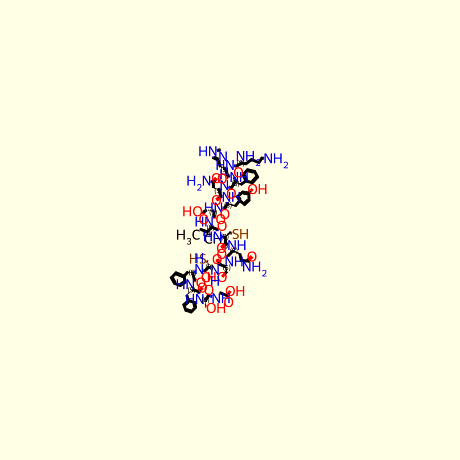 CC[C@H](C)[C@H](NC(=O)[C@H](CC(=O)O)NC(=O)[C@H](Cc1ccc(O)cc1)NC(=O)[C@H](CC(N)=O)NC(=O)[C@H](Cc1ccccc1)NC(=O)[C@H](Cc1c[nH]cn1)NC(=O)[C@@H](N)CCCCN)C(=O)N[C@@H](CS)C(=O)N[C@@H](CCC(N)=O)C(=O)N[C@@H](CO)C(=O)N[C@@H](CS)C(=O)N[C@@H](Cc1ccccc1)C(=O)N[C@@H](Cc1ccccc1)C(=O)N[C@@H](CO)C(=O)NCC(=O)O